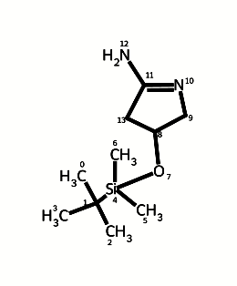 CC(C)(C)[Si](C)(C)OC1CN=C(N)C1